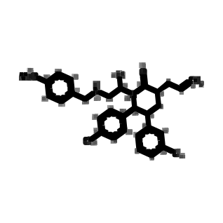 C=CC[C@H]1CC(c2cccc(Cl)c2)C(c2ccc(Cl)cc2)N(C(CC)CNCc2ccc(OC)cc2)C1=O